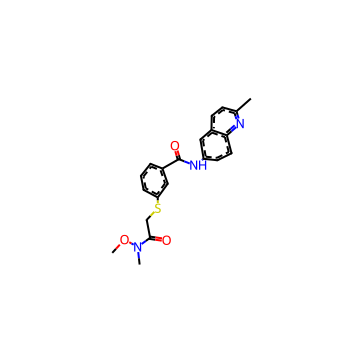 CON(C)C(=O)CSc1cccc(C(=O)Nc2ccc3nc(C)ccc3c2)c1